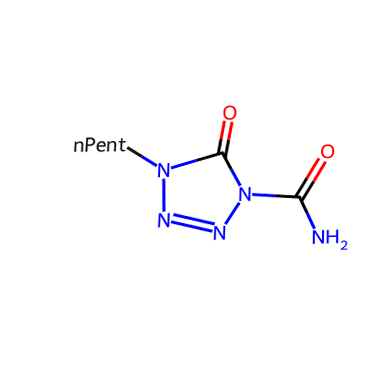 CCCCCn1nnn(C(N)=O)c1=O